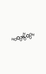 COc1cc(C(=O)NN=Cc2ccc(O)cc2OC)ccc1O